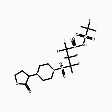 O=C1OCCC1N1CCN(S(=O)(=O)C(F)(F)C(F)(F)C(F)(F)S(=O)(=O)NS(=O)(=O)C(F)(F)F)CC1